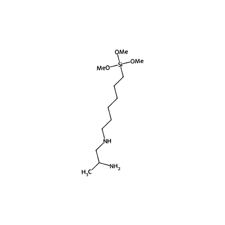 CO[Si](CCCCCCNCC(C)N)(OC)OC